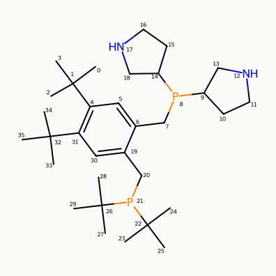 CC(C)(C)c1cc(CP(C2CCNC2)C2CCNC2)c(CP(C(C)(C)C)C(C)(C)C)cc1C(C)(C)C